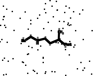 CCCC(C)C(C)CCNCC(C)CC